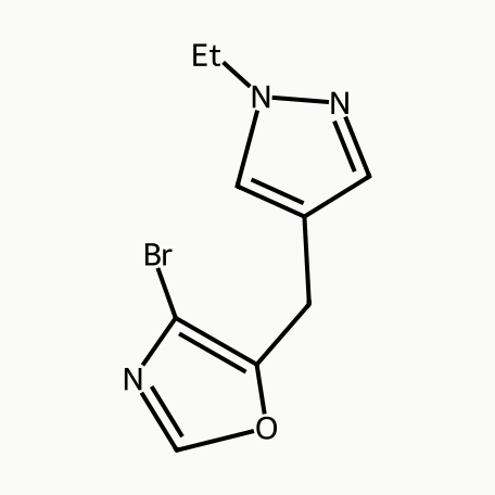 CCn1cc(Cc2ocnc2Br)cn1